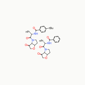 CCCC(NC(=O)c1ccc(C(C)(C)C)cc1)C(=O)N1CCC2OCC(=O)C21.CCCC(NC(=O)c1ccccc1)C(=O)N1CCC2OCC(=O)C21